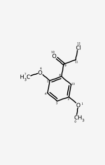 COc1ccc(OC)c(C(=O)CCl)c1